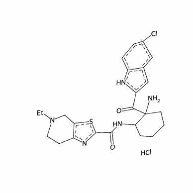 CCN1CCc2nc(C(=O)NC3CCCCC3(N)C(=O)c3cc4cc(Cl)ccc4[nH]3)sc2C1.Cl